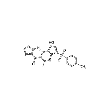 Cc1ccc(S(=O)(=O)n2ccc3c2nc(Cl)n2c(=O)c4sccc4nc32)cc1.Cl